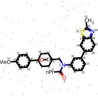 CCCC(=O)N(CC12CCC(c3ccc(OC)cc3)(CC1)OC2)c1cccc(-c2ccc3nc(C)sc3c2)c1